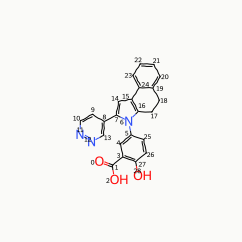 O=C(O)c1cc(-n2c(-c3ccnnc3)cc3c2CCc2ccccc2-3)ccc1O